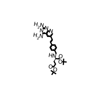 CC(C)(C)OC(=O)CC[C@@H](NCc1ccc(C=Cc2cnc3nc(N)nc(N)c3c2)cc1)C(=O)OC(C)(C)C